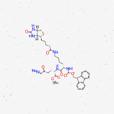 CC(C)(C)OC(=O)[C@H](CCC(=O)C=[N+]=[N-])NC(=O)[C@H](CCCCNC(=O)CCCC[C@@H]1SC[C@H]2NC(=O)N[C@@H]12)NC(=O)OCC1c2ccccc2-c2ccccc21